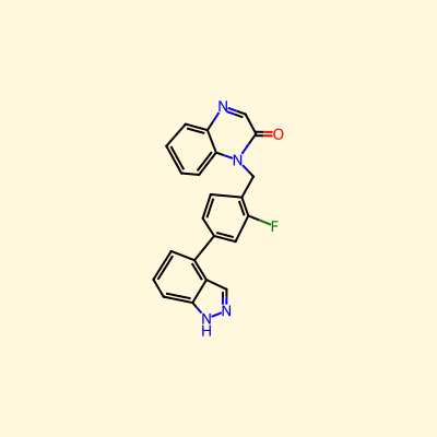 O=c1cnc2ccccc2n1Cc1ccc(-c2cccc3[nH]ncc23)cc1F